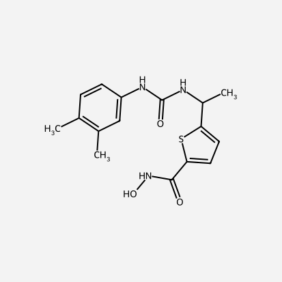 Cc1ccc(NC(=O)NC(C)c2ccc(C(=O)NO)s2)cc1C